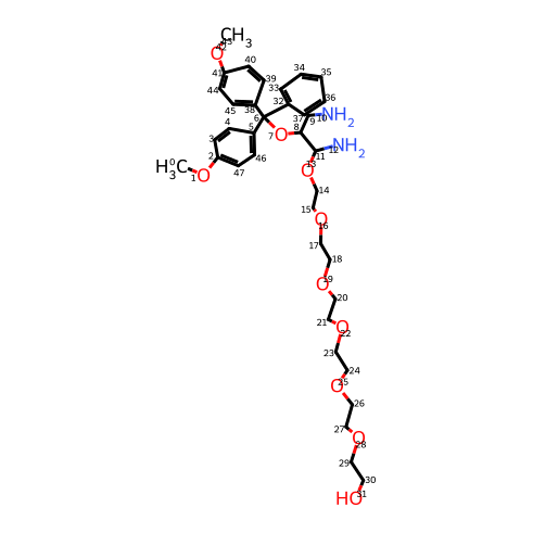 COc1ccc(C(OC(CN)C(N)OCCOCCOCCOCCOCCOCCO)(c2ccccc2)c2ccc(OC)cc2)cc1